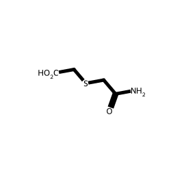 NC(=O)CSCC(=O)O